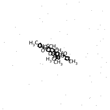 Cc1ccc(C(=O)OC[C@]23CCC(C(C)C)[C@@H]2[C@H]2CCC4[C@@]5(C)CC[C@H](OC(=O)c6ccc(C)cc6)C(C)(C)C5CC[C@@]4(C)[C@]2(C)CC3)cc1